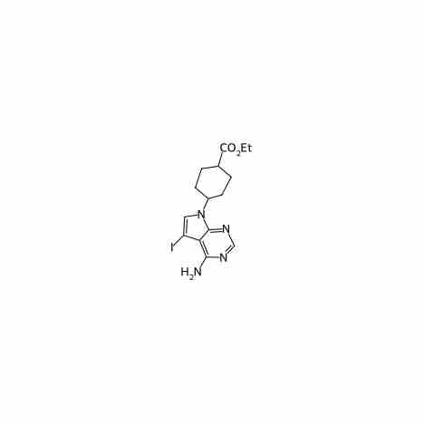 CCOC(=O)C1CCC(n2cc(I)c3c(N)ncnc32)CC1